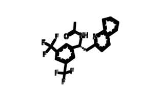 CC(=O)N[C@H](Cc1ccc2ccccc2n1)c1cc(C(F)(F)F)cc(C(F)(F)F)c1